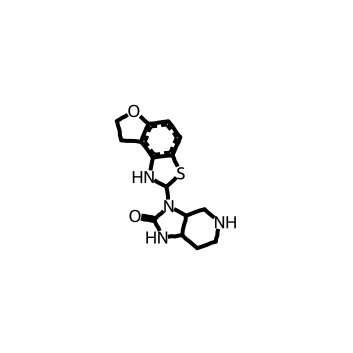 O=C1NC2CCNCC2N1C1Nc2c(ccc3c2CCO3)S1